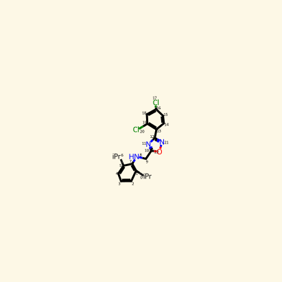 CC(C)c1cccc(C(C)C)c1NCc1nc(-c2ccc(Cl)cc2Cl)no1